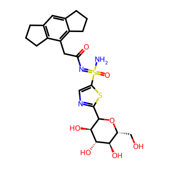 NS(=O)(=NC(=O)Cc1c2c(cc3c1CCC3)CCC2)c1cnc(C2O[C@H](CO)[C@@H](O)[C@H](O)[C@H]2O)s1